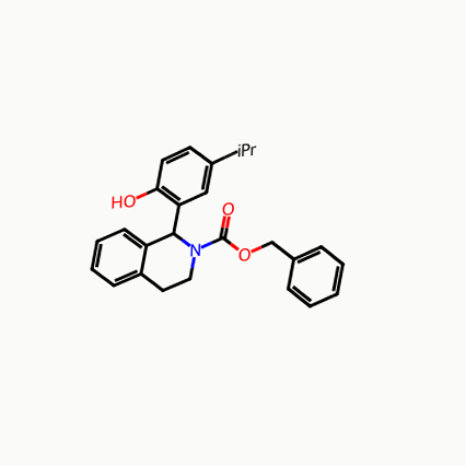 CC(C)c1ccc(O)c(C2c3ccccc3CCN2C(=O)OCc2ccccc2)c1